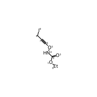 CCOC(=O)NOC#CCI